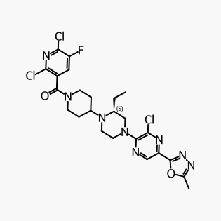 CC[C@H]1CN(c2ncc(-c3nnc(C)o3)nc2Cl)CCN1C1CCN(C(=O)c2cc(F)c(Cl)nc2Cl)CC1